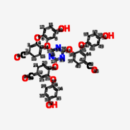 O=C=C1C=C(Oc2ccc(O)cc2)C(Oc2nc(OC3=CCC(=C=O)C=C3Oc3ccc(O)cc3)nc(OC3=CCC(=C=O)C=C3Oc3ccc(O)cc3)n2)=CC1